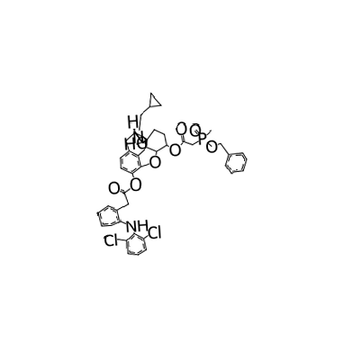 CP(=O)(CC(=O)OC1CC[C@@]2(O)[C@H]3Cc4ccc(OC(=O)Cc5ccccc5Nc5c(Cl)cccc5Cl)c5c4[C@@]2(CCN3CC2CC2)C1O5)OCc1ccccc1